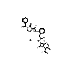 CC1=C(C(=O)[O-])N2C(=O)C(NC(=O)Cc3ccccc3NC(=O)N3CCN(C(=O)c4ccccc4)C3=O)[C@H]2SC1.[Na+]